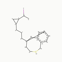 CC(I)C1CC1CCCC12CCSCc3ccc1cc3C2